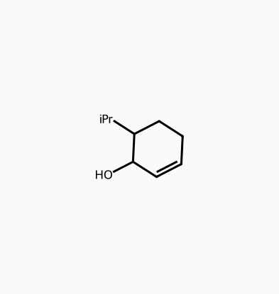 CC(C)C1CCC=CC1O